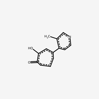 Cc1cnccc1-c1cccc(=O)c(O)c1